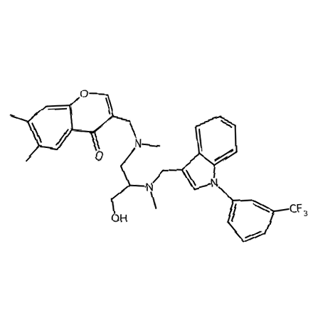 Cc1cc2occ(CN(C)CC(CO)N(C)Cc3cn(-c4cccc(C(F)(F)F)c4)c4ccccc34)c(=O)c2cc1C